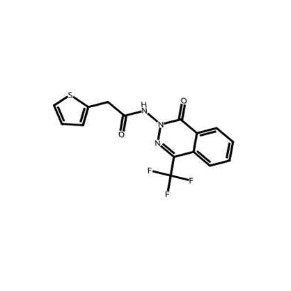 O=C(Cc1cccs1)Nn1nc(C(F)(F)F)c2ccccc2c1=O